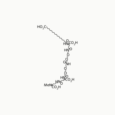 CN[C@@H](CCCCNC(=O)CC[C@H](NC(=O)COCCOCCNC(=O)COCCOCCNC(=O)CC[C@H](NC(=O)CCCCCCCCCCCCCCCCC(=O)O)C(=O)O)C(=O)O)C(=O)O